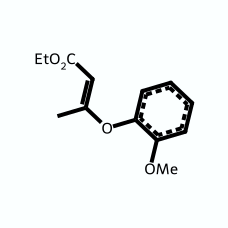 CCOC(=O)C=C(C)Oc1ccccc1OC